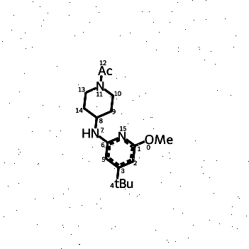 COc1cc(C(C)(C)C)cc(NC2CCN(C(C)=O)CC2)n1